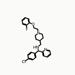 Fc1ccccc1OCCN1CCC(CN[C@H](c2ccc(Cl)cc2)c2ccccn2)CC1